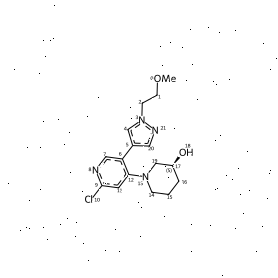 COCCn1cc(-c2cnc(Cl)cc2N2CCC[C@H](O)C2)cn1